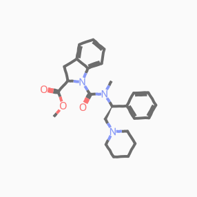 COC(=O)C1Cc2ccccc2N1C(=O)N(C)[C@H](CN1CCCCC1)c1ccccc1